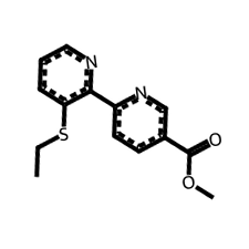 CCSc1cccnc1-c1ccc(C(=O)OC)cn1